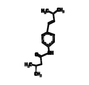 CC(C)/C=C/c1ccc(NC(=O)CC(C)C)cc1